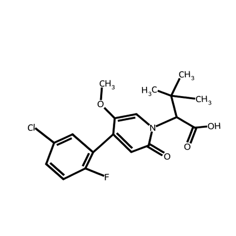 COc1cn(C(C(=O)O)C(C)(C)C)c(=O)cc1-c1cc(Cl)ccc1F